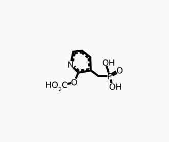 O=C(O)Oc1ncccc1CP(=O)(O)O